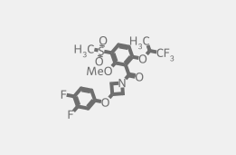 COc1c(S(C)(=O)=O)ccc(OC(C)C(F)(F)F)c1C(=O)N1CC(Oc2ccc(F)c(F)c2)C1